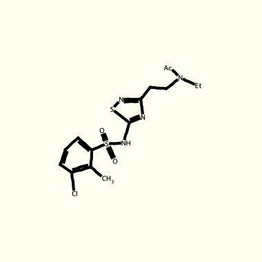 CCN(CCc1nsc(NS(=O)(=O)c2cccc(Cl)c2C)n1)C(C)=O